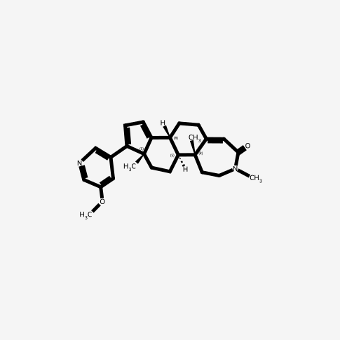 COc1cncc(C2=CC=C3[C@@H]4CCC5=CC(=O)N(C)CC[C@]5(C)[C@H]4CC[C@]23C)c1